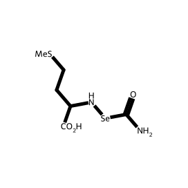 CSCCC(N[Se]C(N)=O)C(=O)O